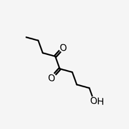 CCCC(=O)C(=O)CCCO